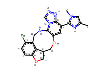 Cc1cn(C)c(-c2cc3c(n4cnnc24)NCc2c(F)ccc4c2[C@H](CO4)CO3)n1